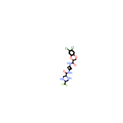 O=C(NC12CC(NC(=O)C3COc4cc(Cl)c(Cl)cc4O3)(C1)C2)C1CNC(C(F)F)CN1